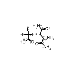 NC(=O)C[C@H](N)C(N)=O.O=C(O)C(F)(F)F